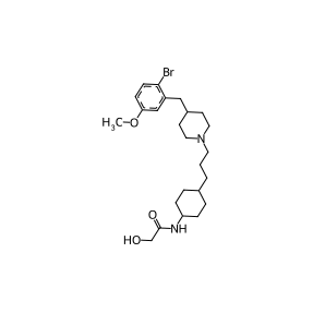 COc1ccc(Br)c(CC2CCN(CCCC3CCC(NC(=O)CO)CC3)CC2)c1